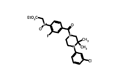 CCOC(=O)C[S+]([O-])c1ccc(C(=O)N2CCN(c3cccc(Cl)c3)C(C)(C)C2)cc1F